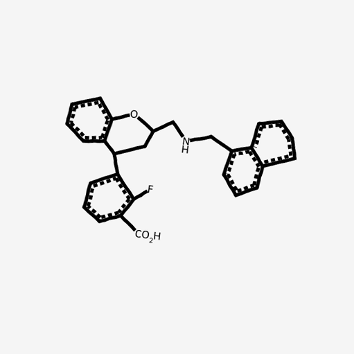 O=C(O)c1cccc(C2CC(CNCc3cccc4ccccc34)Oc3ccccc32)c1F